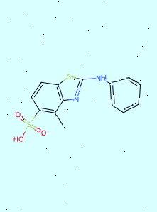 Cc1c(S(=O)(=O)O)ccc2sc(Nc3ccccc3)nc12